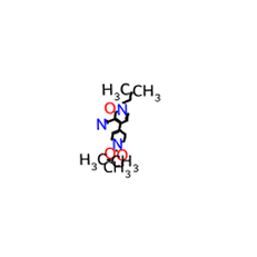 CC(C)CCn1ccc(C2=CCN(C(=O)OC(C)(C)C)CC2)c(C#N)c1=O